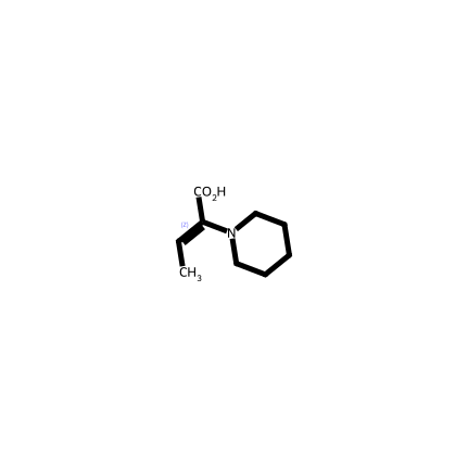 C/C=C(/C(=O)O)N1CCCCC1